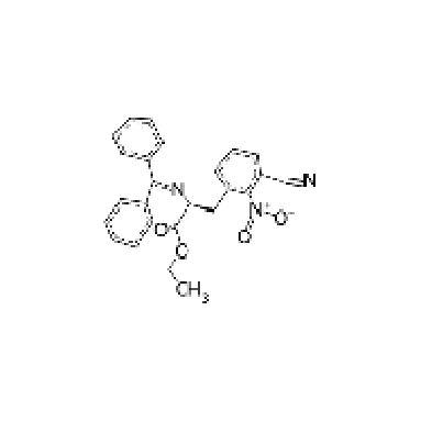 CCOC(=O)[C@H](Cc1cccc(C#N)c1[N+](=O)[O-])N=C(c1ccccc1)c1ccccc1